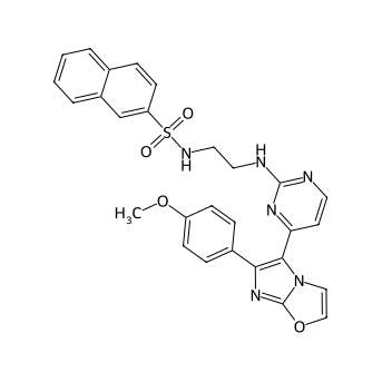 COc1ccc(-c2nc3occn3c2-c2ccnc(NCCNS(=O)(=O)c3ccc4ccccc4c3)n2)cc1